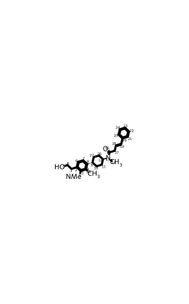 CNc1c(CCO)ccc([C@H]2CC[C@H](N(C)C(=O)CC=Cc3ccccc3)CC2)c1C